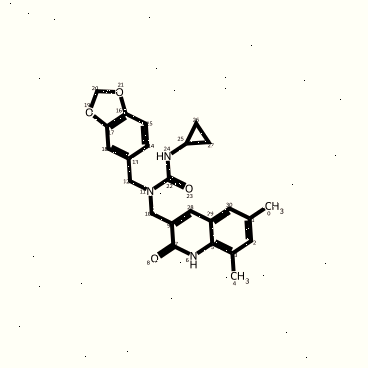 Cc1cc(C)c2[nH]c(=O)c(CN(Cc3ccc4c(c3)OCO4)C(=O)NC3CC3)cc2c1